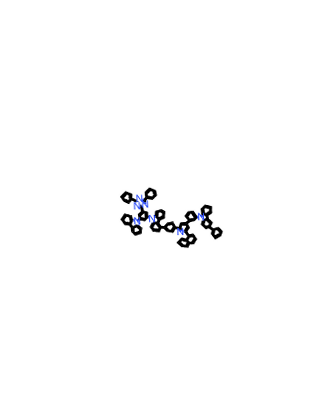 c1ccc(-c2ccc3c(c2)c2ccccc2n3-c2cccc(-c3cc(-c4ccc(-c5cccc6c5c5ccccc5n6-c5cc(-c6nc(-c7ccccc7)nc(-c7ccccc7)n6)cc(-n6c7ccccc7c7ccccc76)c5)cc4)nc(-c4cccc5ccccc45)c3)c2)cc1